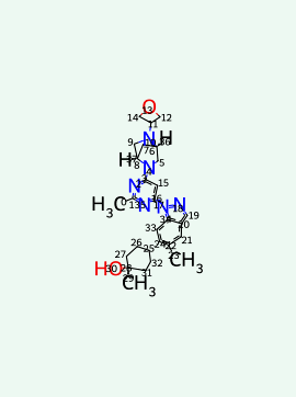 Cc1nc(N2C[C@@H]3C[C@H]2CN3C2COC2)cc(-n2ncc3cc(C)c([C@H]4CC[C@@](C)(O)CC4)cc32)n1